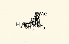 COc1ccc(-n2nc(C(F)(F)F)c3c2C(=O)N(CCCN(C)C)CC3)cc1